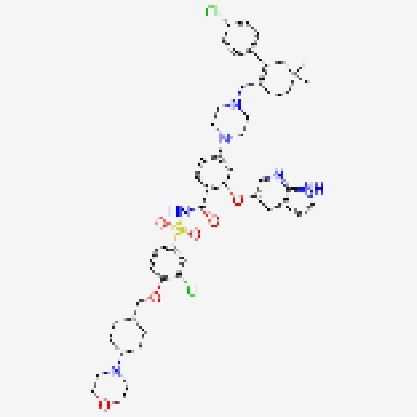 CC1(C)CCC(CN2CCN(c3ccc(C(=O)NS(=O)(=O)c4ccc(OCC5CCC(N6CCOCC6)CC5)c(Cl)c4)c(Oc4cnc5[nH]ccc5c4)c3)CC2)=C(c2ccc(Cl)cc2)C1